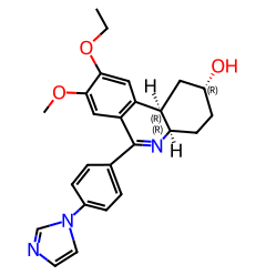 CCOc1cc2c(cc1OC)C(c1ccc(-n3ccnc3)cc1)=N[C@@H]1CC[C@@H](O)C[C@H]21